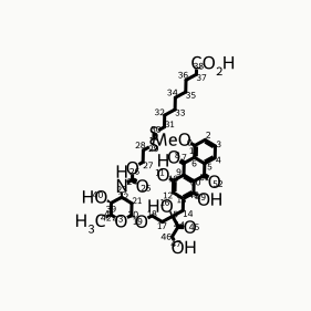 COc1cccc2c1C(=O)c1c(O)cc(C[C@](O)(CCO[C@H]3C[C@H](NC(=O)OCCSSCCCCCCCC(=O)O)[C@H](O)[C@H](C)O3)C(=O)CO)c(O)c1C2=O